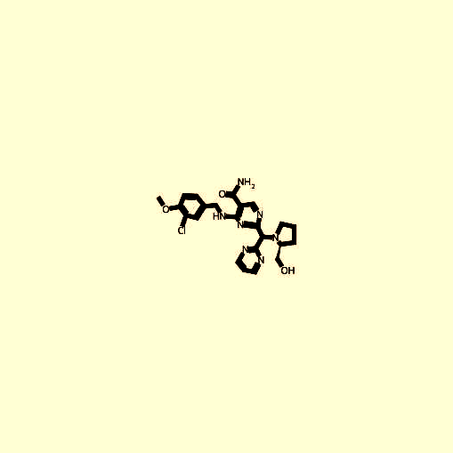 COc1ccc(CNc2nc(C(c3ncccn3)N3CCC[C@H]3CO)ncc2C(N)=O)cc1Cl